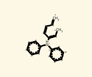 C=C/C=C\C(=C/C)[SiH](c1ccccc1)c1ccccc1